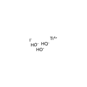 [I-].[OH-].[OH-].[OH-].[Ti+4]